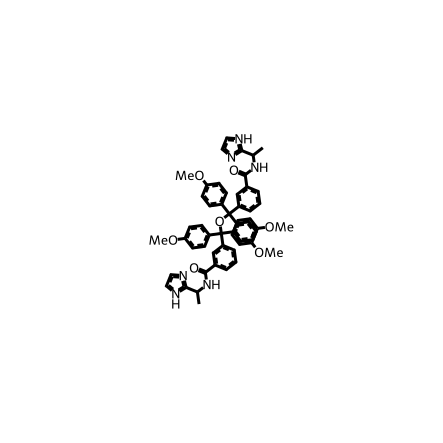 COc1ccc(C(OC(c2ccc(OC)cc2)(c2ccc(OC)cc2)c2cccc(C(=O)NC(C)c3ncc[nH]3)c2)(c2ccc(OC)cc2)c2cccc(C(=O)NC(C)c3ncc[nH]3)c2)cc1